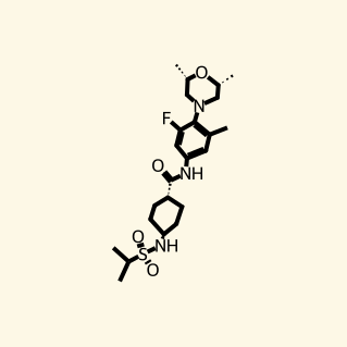 Cc1cc(NC(=O)[C@H]2CC[C@H](NS(=O)(=O)C(C)C)CC2)cc(F)c1N1C[C@@H](C)O[C@@H](C)C1